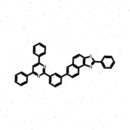 c1ccc(-c2cc(-c3ccccc3)nc(-c3cccc(-c4ccc5c(ccc6sc(-c7ccccc7)nc65)c4)c3)n2)cc1